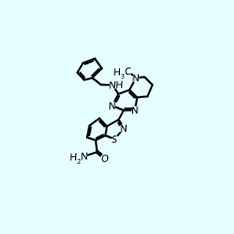 CN1CCCc2nc(-c3nsc4c(C(N)=O)cccc34)nc(NCc3ccccc3)c21